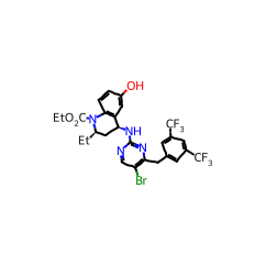 CCOC(=O)N1c2ccc(O)cc2[C@@H](Nc2ncc(Br)c(Cc3cc(C(F)(F)F)cc(C(F)(F)F)c3)n2)C[C@H]1CC